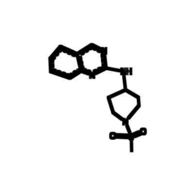 CS(=O)(=O)N1CCC(Nc2ncc3ccccc3n2)CC1